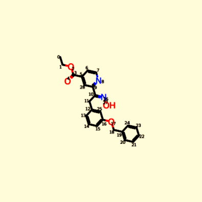 CCOC(=O)c1ccnc(/C(Cc2cccc(OCc3ccccc3)c2)=N/O)c1